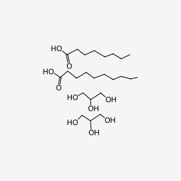 CCCCCCCC(=O)O.CCCCCCCCCC(=O)O.OCC(O)CO.OCC(O)CO